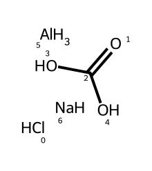 Cl.O=C(O)O.[AlH3].[NaH]